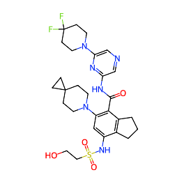 O=C(Nc1cncc(N2CCC(F)(F)CC2)n1)c1c(N2CCC3(CC2)CC3)cc(NS(=O)(=O)CCO)c2c1CCC2